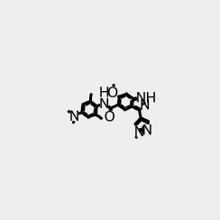 COc1cc2[nH]nc(-c3cnn(C)c3)c2cc1C(=O)Nc1c(C)cc(N(C)C)cc1C